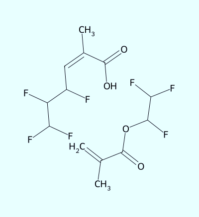 C=C(C)C(=O)OC(F)C(F)F.CC(=CC(F)C(F)C(F)F)C(=O)O